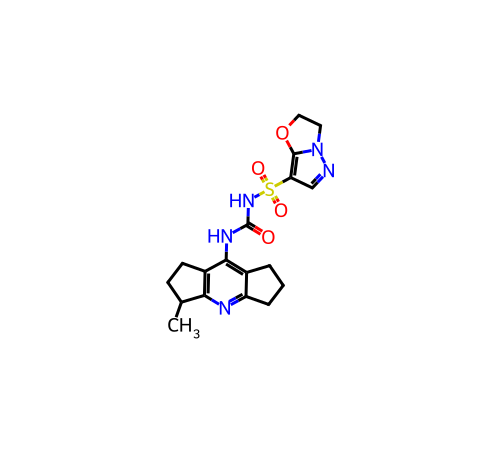 CC1CCc2c1nc1c(c2NC(=O)NS(=O)(=O)c2cnn3c2OCC3)CCC1